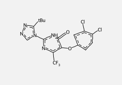 CC(C)(C)c1nncn1-c1nc(C(F)(F)F)c(Oc2ccc(Cl)c(Cl)c2)c(=O)[nH]1